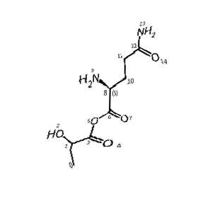 CC(O)C(=O)OC(=O)[C@@H](N)CCC(N)=O